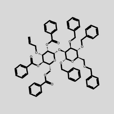 C=CCO[C@@H]1[C@H](OC(=O)c2ccccc2)[C@H](O[C@@H]2[C@@H](OCc3ccccc3)O[C@H](COCc3ccccc3)[C@@H](OCc3ccccc3)[C@@H]2OCc2ccccc2)O[C@H](COC(=O)c2ccccc2)[C@H]1OC(=O)c1ccccc1